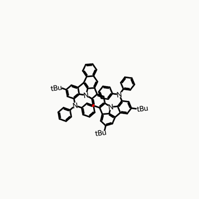 CC(C)(C)c1cc(N(c2ccccc2)c2ccccc2)c2c(c1)c1cc(C(C)(C)C)cc3c4cc5c(cc4n2c31)c1cc2ccccc2c2c3cc(C(C)(C)C)cc(N(c4ccccc4)c4ccccc4)c3n5c12